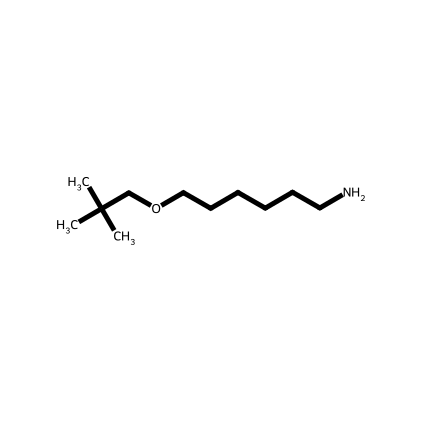 CC(C)(C)COCCCCCCN